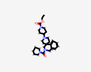 CCOC(=O)N1CCC(N2CCC3(CC2)CN(C(=O)N2CCCCC2)Cc2ccccc23)CC1